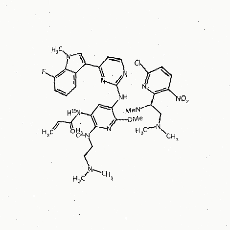 C=CC(=O)[15NH]c1cc(Nc2nccc(-c3cn(C)c4c(F)cccc34)n2)c(OC)nc1N(C)CCN(C)C.CNC(CN(C)C)c1nc(Cl)ccc1[N+](=O)[O-]